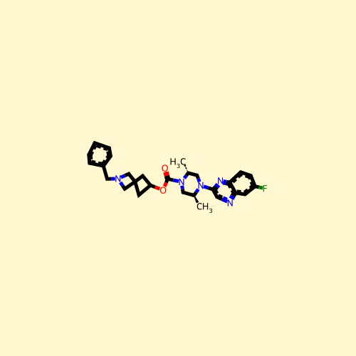 C[C@@H]1CN(c2cnc3cc(F)ccc3n2)[C@@H](C)CN1C(=O)OC1CC2(C1)CN(Cc1ccccc1)C2